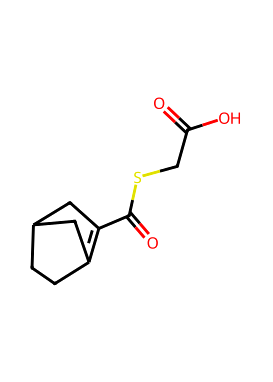 O=C(O)CSC(=O)C1=C2CCC(C2)C1